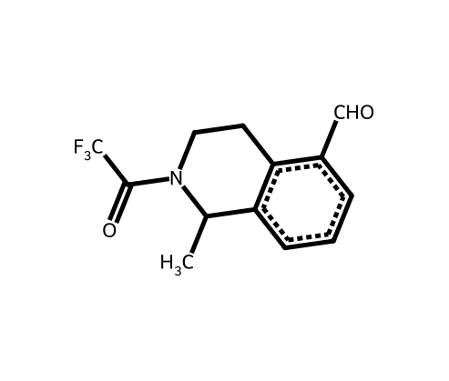 CC1c2cccc(C=O)c2CCN1C(=O)C(F)(F)F